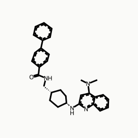 CN(C)c1cc(N[C@H]2CC[C@@H](CNC(=O)c3ccc(-c4ccccc4)cc3)CC2)nc2ccccc12